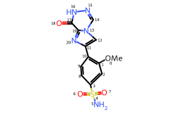 COc1cc(S(N)(=O)=O)ccc1-c1cn2cn[nH]c(=O)c2n1